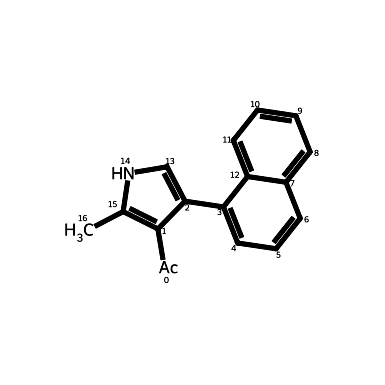 CC(=O)c1c(-c2cccc3ccccc23)c[nH]c1C